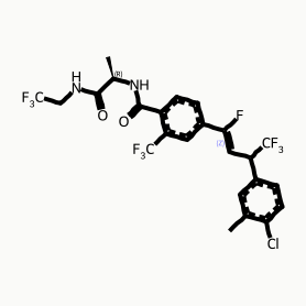 Cc1cc(C(/C=C(\F)c2ccc(C(=O)N[C@H](C)C(=O)NCC(F)(F)F)c(C(F)(F)F)c2)C(F)(F)F)ccc1Cl